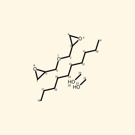 C(OCC1CO1)C1CO1.CCCCCCCCCC.CO.CO